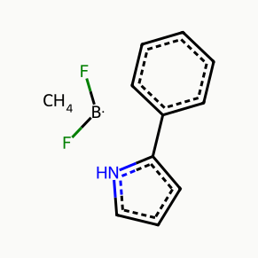 C.F[B]F.c1ccc(-c2ccc[nH]2)cc1